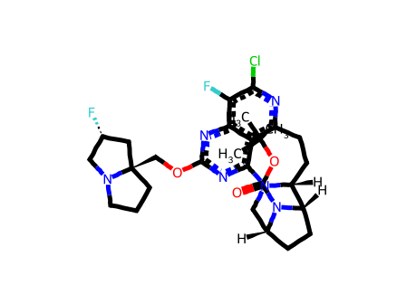 CC(C)(C)OC(=O)N1[C@@H]2CC[C@H]1[C@H]1CCc3nc(Cl)c(F)c4nc(OC[C@@]56CCCN5C[C@H](F)C6)nc(c34)N1C2